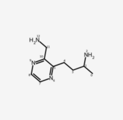 CC(N)CCc1nccnc1CN